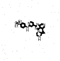 CCP(=O)(CC)c1ccc(Nc2cc(-c3nc(N4CCNCC4)c4c(C5CC5)cncc4n3)ccn2)cc1